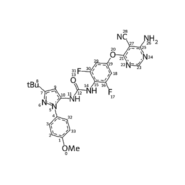 COc1ccc(-n2nc(C(C)(C)C)cc2NC(=O)Nc2c(F)cc(Oc3ncnc(N)c3C#N)cc2F)cc1